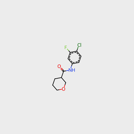 O=C(Nc1ccc(Cl)c(F)c1)C1CCCOC1